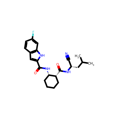 CC(C)C[C@@H](C#N)NC(=O)[C@@H]1CCCC[C@@H]1NC(=O)c1cc2ccc(F)cc2[nH]1